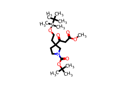 COC(=O)CC(=O)C1(CCO[Si](C)(C)C(C)(C)C)CCN(C(=O)OC(C)(C)C)C1